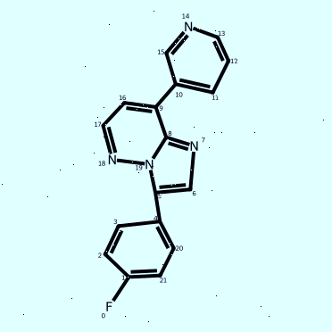 Fc1ccc(-c2cnc3c(-c4cccnc4)ccnn23)cc1